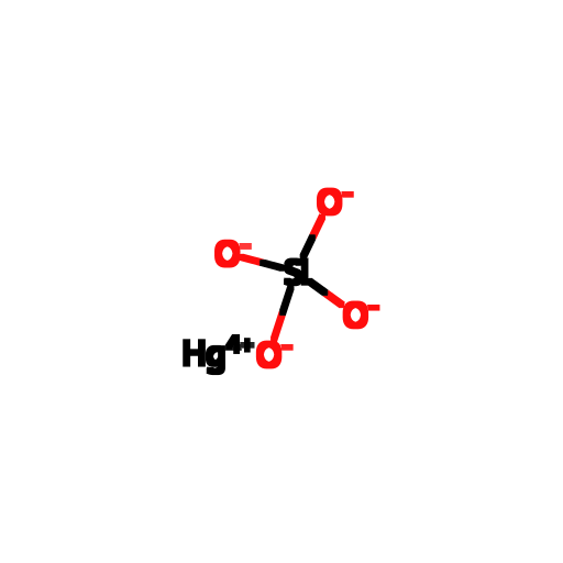 [Hg+4].[O-][Si]([O-])([O-])[O-]